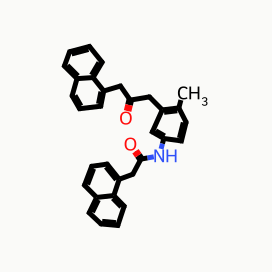 Cc1ccc(NC(=O)Cc2cccc3ccccc23)cc1CC(=O)Cc1cccc2ccccc12